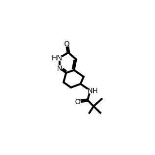 CC(C)(C)C(=O)NC1CCc2n[nH]c(=O)cc2C1